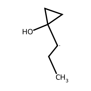 CC[CH]C1(O)CC1